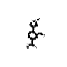 COC(=O)c1ccc(-c2cnn(C)c2)c(C=O)c1